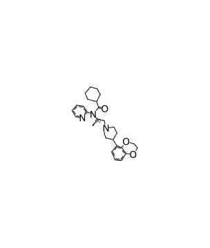 C[C@H](CN1CCC(c2cccc3c2OCCO3)CC1)N(C(=O)C1CCCCC1)c1ccccn1